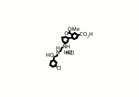 COC(=O)c1cc(C(=O)O)ccc1-c1cccc(NCCNCC(O)c2cccc(Cl)c2)c1.Cl.Cl